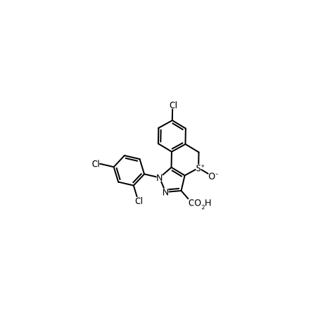 O=C(O)c1nn(-c2ccc(Cl)cc2Cl)c2c1[S+]([O-])Cc1cc(Cl)ccc1-2